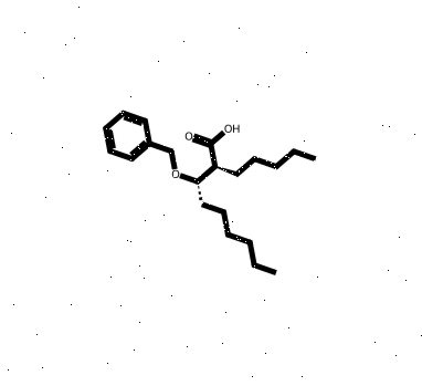 CCCCCC[C@H](OCc1ccccc1)[C@H](CCCCC)C(=O)O